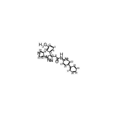 Cc1cccc(-c2c(CC(=O)Nc3ccc(-c4ccccc4)cn3)nnn2-c2ccncc2)c1